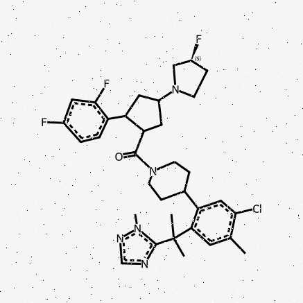 Cc1cc(C(C)(C)c2ncnn2C)c(C2CCN(C(=O)C3CC(N4CC[C@H](F)C4)CC3c3ccc(F)cc3F)CC2)cc1Cl